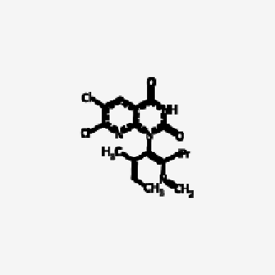 C=N/C(=C(\C(C)=C/C)n1c(=O)[nH]c(=O)c2cc(Cl)c(Cl)nc21)C(C)C